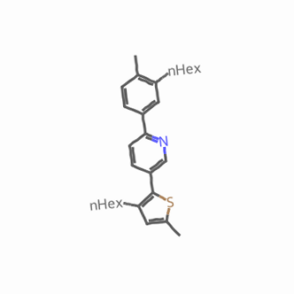 CCCCCCc1cc(-c2ccc(-c3sc(C)cc3CCCCCC)cn2)ccc1C